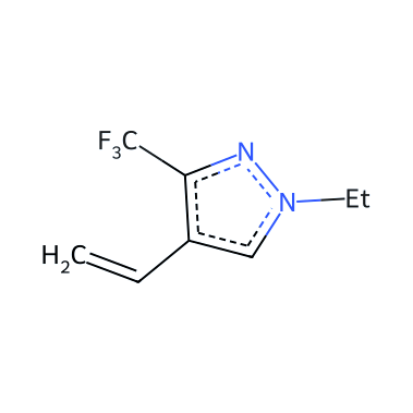 C=Cc1cn(CC)nc1C(F)(F)F